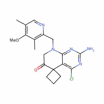 COc1c(C)cnc(CN2CC(=O)C3(CCC3)c3c(Cl)nc(N)nc32)c1C